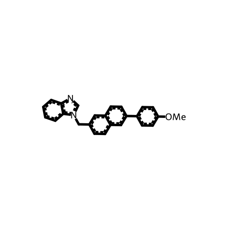 COc1ccc(-c2ccc3cc(Cn4cnc5ccccc54)ccc3c2)cc1